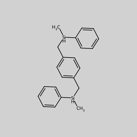 C[SiH](Cc1ccc(C[SiH](C)c2ccccc2)cc1)c1ccccc1